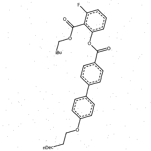 CCCCCCCCCCCCOc1ccc(-c2ccc(C(=O)Oc3cccc(F)c3C(=O)OCC(C)CC)cc2)cc1